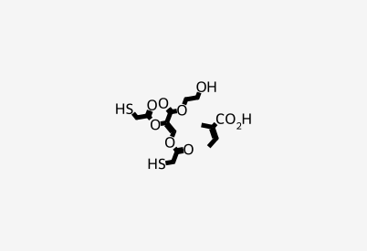 CC=C(C)C(=O)O.O=C(CS)OC=C(OC(=O)CS)C(=O)OCCO